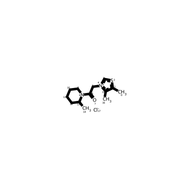 Cc1sc[n+](CC(=O)N2CCCCC2C)c1C.[Cl-]